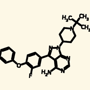 CC(C)(C)N1CCC(n2nc(-c3ccc(Oc4ccccc4)c(F)c3)c3c(N)ncnc32)CC1